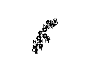 COC(=O)N[C@H](C(=O)N1CCC[C@H]1c1nc2cc([C@H]3CC[C@H](c4ccc5[nH]c([C@@H]6CCCN6C(=O)[C@@H](NC(=O)OC)C(C)C)nc5c4)N3c3ccc(OC(F)F)cc3)ccc2[nH]1)C(C)C